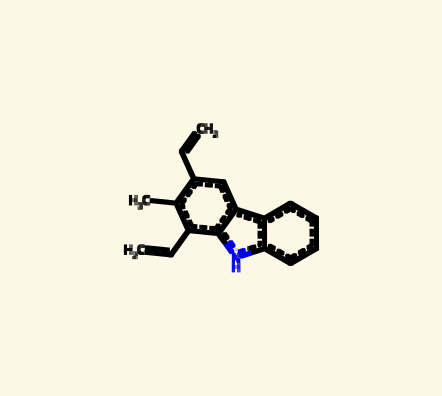 C=Cc1cc2c([nH]c3ccccc32)c(C=C)c1C